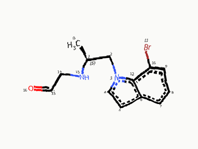 C[C@@H](Cn1ccc2cccc(Br)c21)NC[C]=O